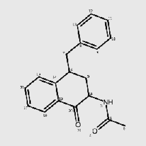 CC(=O)NC1CC(Cc2ccccc2)c2ccccc2C1=O